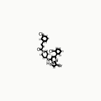 O=C(/C=C/c1cccc(Cl)c1)N1CCC(Nc2cc(-c3ccccc3Cl)nc3c(Br)cnn23)CC1